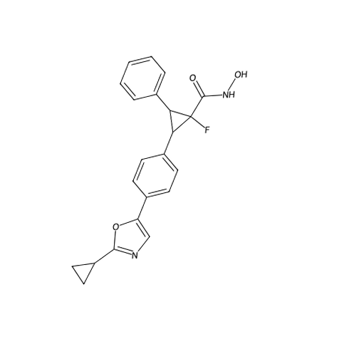 O=C(NO)C1(F)C(c2ccccc2)C1c1ccc(-c2cnc(C3CC3)o2)cc1